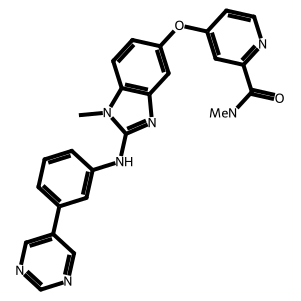 CNC(=O)c1cc(Oc2ccc3c(c2)nc(Nc2cccc(-c4cncnc4)c2)n3C)ccn1